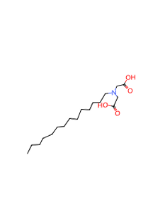 CCCCCCCCCCCCCCN(CC(=O)O)CC(=O)O